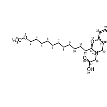 COCCCCCCCCCCCC(=O)N(CC(=O)O)Cc1ccccc1